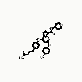 N[C@H]1CC[C@H](Nc2cc(Nc3ccc(CCCC(=O)O)cc3)c3ncc(C(=O)Nc4ccncc4)n3n2)CC1